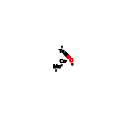 O=[Te].[Co].[Mo]